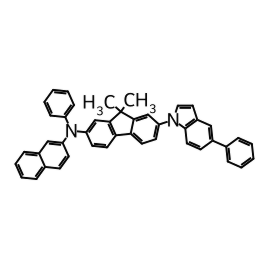 CC1(C)c2cc(N(c3ccccc3)c3ccc4ccccc4c3)ccc2-c2ccc(-n3ccc4cc(-c5ccccc5)ccc43)cc21